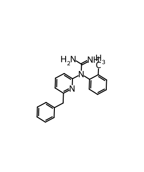 Cc1ccccc1N(C(=N)N)c1cccc(Cc2ccccc2)n1